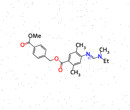 CCN(C)/C=N/c1cc(C)c(C(=O)OCc2ccc(C(=O)OC)cc2)cc1C